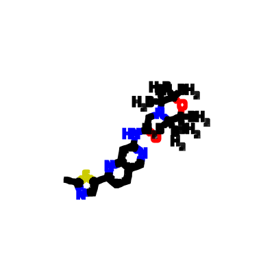 BC1(B)OC(B)(B)C(B)(B)N(CC(=O)Nc2cc3nc(-c4cnc(C)s4)ccc3cn2)C1(B)B